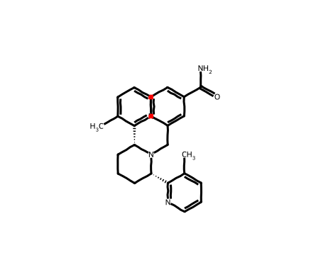 Cc1cccnc1[C@H]1CCC[C@@H](c2ncccc2C)N1Cc1cccc(C(N)=O)c1